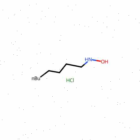 CCCCCCCCNO.Cl